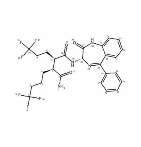 NC(=O)[C@@H](CCCC(F)(F)F)[C@@H](CCC(F)(F)F)C(=O)N[C@H]1N=C(c2ccccc2)c2ccccc2NC1=O